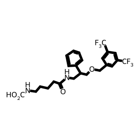 O=C(O)NCCCCC(=O)NCC(COCc1cc(C(F)(F)F)cc(C(F)(F)F)c1)c1ccccc1